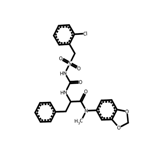 CN(C(=O)C(Cc1ccccc1)NC(=O)NS(=O)(=O)Cc1ccccc1Cl)c1ccc2c(c1)OCO2